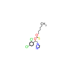 CCCCCCOC(=S)OC(Cn1ccnc1)c1ccc(Cl)cc1Cl